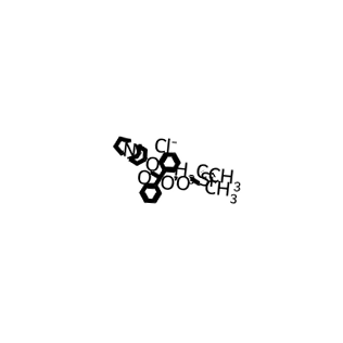 C[Si](C)(C)CCOCOC(C(=O)OC1CC2CCC(C1)[N+]21CCCC1)(c1ccccc1)c1ccccc1.[Cl-]